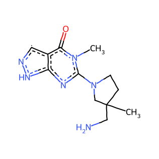 Cn1c(N2CCC(C)(CN)C2)nc2[nH]n[c]c2c1=O